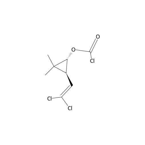 CC1(C)[C@H](C=C(Cl)Cl)[C@H]1OC(=O)Cl